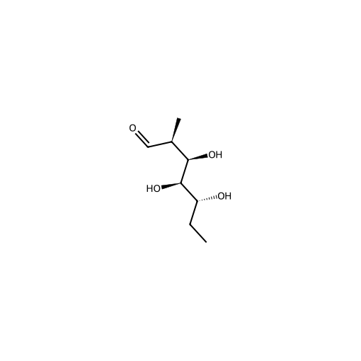 CC[C@@H](O)[C@@H](O)[C@H](O)[C@H](C)C=O